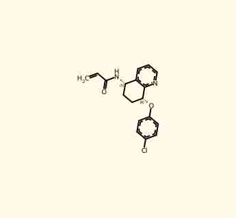 C=CC(=O)N[C@H]1CC[C@@H](Oc2ccc(Cl)cc2)c2ncccc21